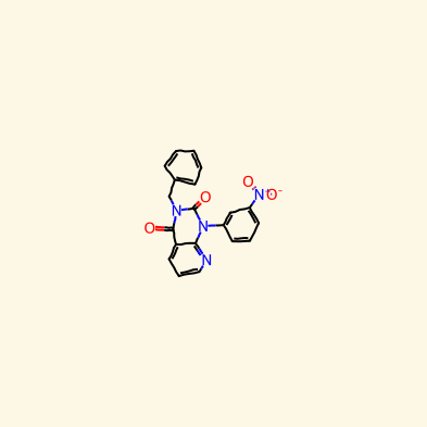 O=c1c2cccnc2n(-c2cccc([N+](=O)[O-])c2)c(=O)n1Cc1ccccc1